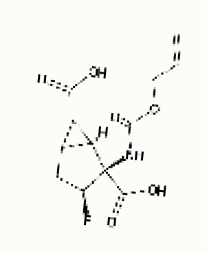 C=CCOC(=O)N[C@@]1(C(=O)O)[C@@H](F)CC2[C@H](C(=O)O)[C@H]21